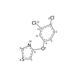 Clc1ccc(Oc2cs[c]n2)cc1Cl